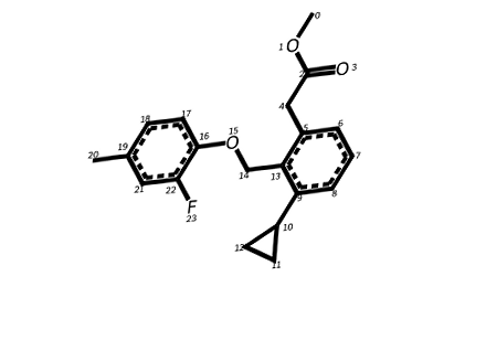 COC(=O)Cc1cccc(C2CC2)c1COc1ccc(C)cc1F